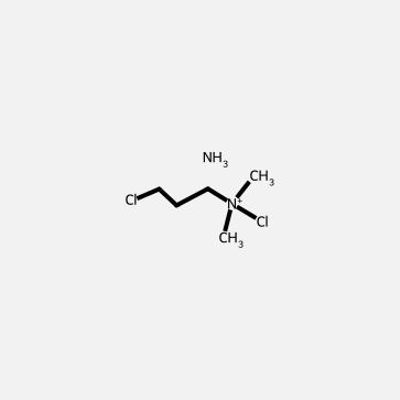 C[N+](C)(Cl)CCCCl.N